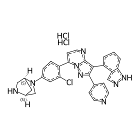 Cl.Cl.Clc1cc(N2C[C@@H]3C[C@H]2CN3)ccc1-c1ccnc2c(-c3cccc4[nH]ncc34)c(-c3ccncc3)nn12